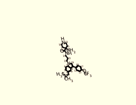 CN(C)Cc1ccc2c(c1)c(-c1ccc(OC(F)(F)F)cc1)cn2CCCNC(=O)C1(N)CCNCC1